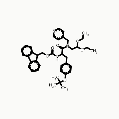 CCOC(CN(Cc1ccncc1)C(=O)C(Cc1ccc(OC(C)(C)C)cc1)NC(=O)OCC1c2ccccc2-c2ccccc21)OCC